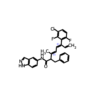 C=C/C(=C\C=C(/C)C(Cc1ccccc1)C(=O)Nc1ccc2[nH]ncc2c1)c1c(F)ccc(Cl)c1F